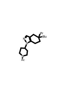 CC(=O)N1CCC(n2ncc3c2CCC(C(C)C)(C(C)(C)C)C3)CC1